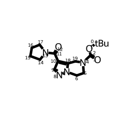 CC(C)(C)OC(=O)N1CCn2ncc(C(=O)N3CCCC3)c2C1